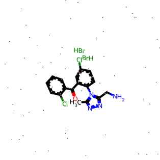 Br.Br.Cc1nnc(CN)n1-c1ccc(Cl)cc1C(=O)c1ccccc1Cl